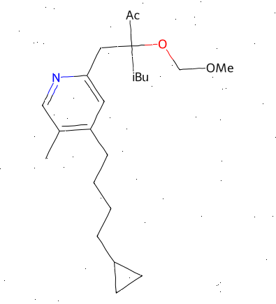 CCC(C)C(Cc1cc(CCCCC2CC2)c(C)cn1)(OCOC)C(C)=O